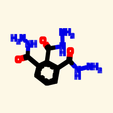 NNC(=O)c1cccc(C(=O)NN)c1C(=O)NN